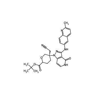 Cc1ccc2cc(Nc3nn([C@]4(CC#N)CCC(C(=O)OC(C)(C)C)OC4)c4cc[nH]c(=O)c34)ccc2n1